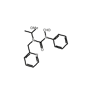 COC(C)N(Cc1ccccn1)C(=O)N([C]=O)c1ccccc1